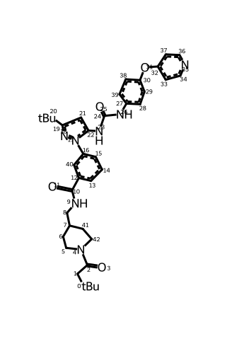 CC(C)(C)CC(=O)N1CCC(CNC(=O)c2cccc(-n3nc(C(C)(C)C)cc3NC(=O)Nc3ccc(Oc4ccncc4)cc3)c2)CC1